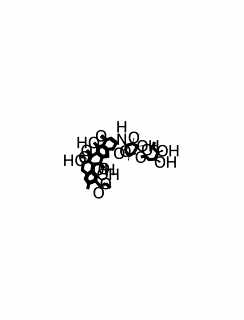 COC(=O)c1c(C)cc2c(c1O)[C@]1(O)C(=O)c3cc4c(c(O)c3C(=O)[C@]1(OC)[C@H](O)C2)C(=O)C=C(NC1O[C@@H](C)[C@H](OC2C[C@H](O)[C@H](O)C(C)O2)[C@@H](O)[C@H]1OC)C4=O